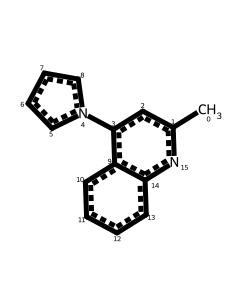 Cc1cc(-n2cccc2)c2ccccc2n1